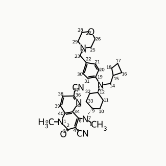 Cn1c(=O)c(C#N)c(N(C)[C@H]2CC[C@H](N(CC3CCC3)c3ccc(CN4CCOCC4)cc3)CC2)c2nc(C#N)ccc21